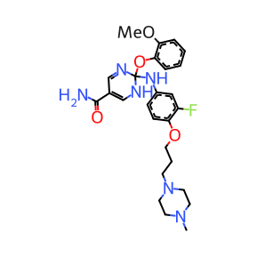 COc1ccccc1OC1(Nc2ccc(OCCCN3CCN(C)CC3)c(F)c2)N=CC(C(N)=O)=CN1